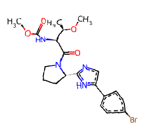 COC(=O)N[C@H](C(=O)N1CCC[C@H]1c1ncc(-c2ccc(Br)cc2)[nH]1)[C@@H](C)OC